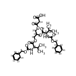 CC(C)[C@H](NC(=O)OCc1ccccc1)C(=O)OCC(COC(=O)CC(=O)O)OC(=O)[C@@H](NC(=O)OCc1ccccc1)C(C)C